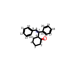 O=C1CCCCC1/C(=C\c1ccccc1)c1ccccc1